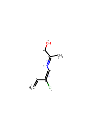 C=C/C(Cl)=C\N=C(/C)CO